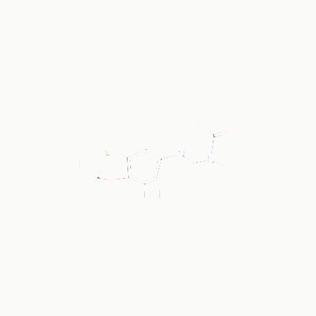 CN(C=Nc1ccc(OC(F)(F)F)c(Cl)c1)C(=O)Cl.Cl